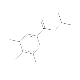 CC(C)OC(=O)c1cc(Cl)c(Cl)c(Cl)c1